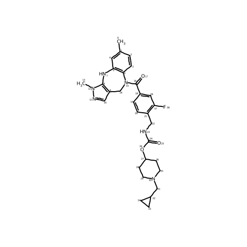 Cc1ccc2c(c1)Nc1c(cnn1C)CN2C(=O)c1ccc(CNC(=O)OC2CCN(CC3CC3)CC2)c(F)c1